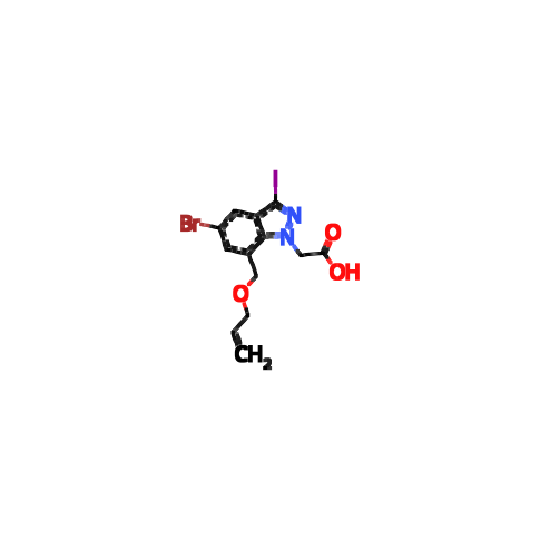 C=CCOCc1cc(Br)cc2c(I)nn(CC(=O)O)c12